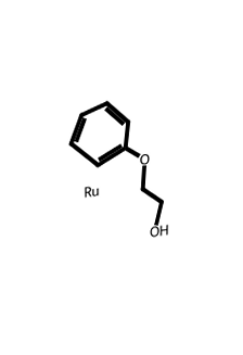 OCCOc1ccccc1.[Ru]